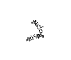 Cl.Cl.Cl.NNC(=O)CN1CCN(C(=O)c2ccc(Oc3ccc(NC(=O)c4ccc(C(F)(F)F)cc4)cn3)cc2)CC1